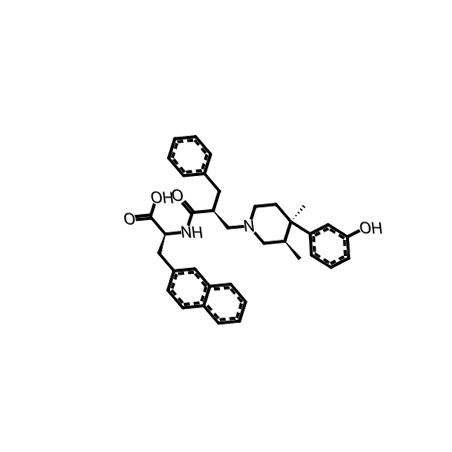 C[C@H]1CN(C[C@H](Cc2ccccc2)C(=O)N[C@@H](Cc2ccc3ccccc3c2)C(=O)O)CC[C@@]1(C)c1cccc(O)c1